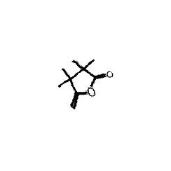 C=C1OC(=O)C(C)(C)C1(C)C